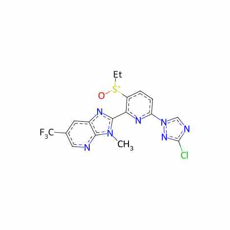 CC[S+]([O-])c1ccc(-n2cnc(Cl)n2)nc1-c1nc2cc(C(F)(F)F)cnc2n1C